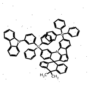 CC1(C)c2ccccc2C2(c3ccc([Si](c4ccccc4)(c4ccccc4)c4cccc(-n5c6ccccc6c6ccccc65)c4)cc3-n3c4cc([Si](c5ccccc5)(c5ccccc5)c5ccccc5)ccc4c4cccc2c43)c2ccccc21